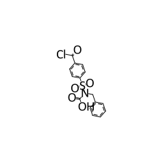 O=C(Cl)c1ccc(S(=O)(=O)N(Cc2ccccc2)C(=O)O)cc1